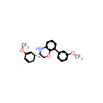 FC(F)(F)OC1=CC([C@H]2COc3c(cccc3-c3cccc(OC(F)(F)F)c3)N2)CC=C1